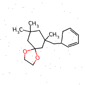 CC1(C)CC(C)(CC2C=CC=CC2)CC2(C1)OCCO2